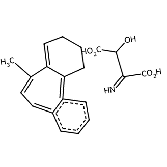 CC1=CC=c2ccccc2=C2CCCC=C12.N=C(C(=O)O)C(O)C(=O)O